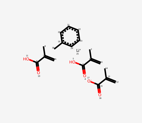 C=C(C)C(=O)O.C=C(C)C(=O)O.C=C(C)C(=O)[O-].Cc1ccccc1.[Li+]